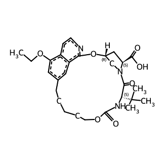 CCOc1cc2cc3c(nccc13)O[C@@H]1C[C@@H](C(=O)O)N(C1)C(=O)[C@H](C(C)(C)C)NC(=O)OCCCCC2